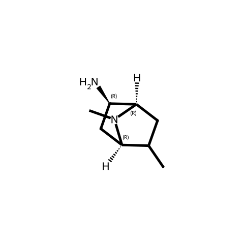 CC1C[C@@H]2[C@H](N)C[C@H]1N2C